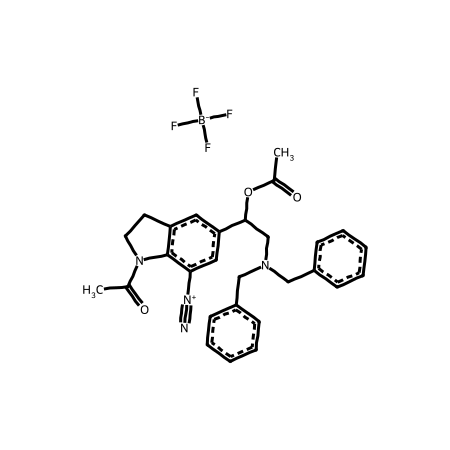 CC(=O)OC(CN(Cc1ccccc1)Cc1ccccc1)c1cc2c(c([N+]#N)c1)N(C(C)=O)CC2.F[B-](F)(F)F